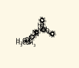 CC(C)(C)OC(=O)N1CCC(c2ncc(Nc3ccc(OCc4ccccc4)nc3OCc3ccccc3)cn2)CC1